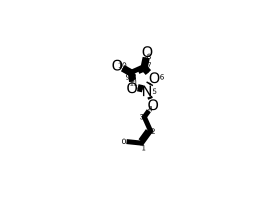 C/C=C\COn1oc(=O)c(=O)o1